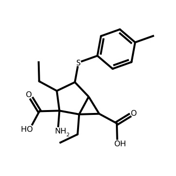 CCC1C(Sc2ccc(C)cc2)C2C(C(=O)O)C2(CC)C1(N)C(=O)O